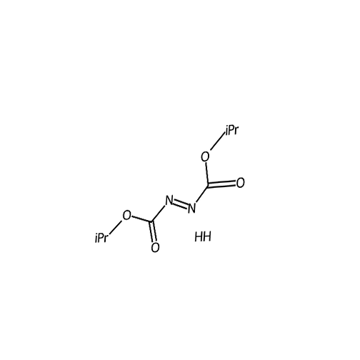 CC(C)OC(=O)N=NC(=O)OC(C)C.[HH]